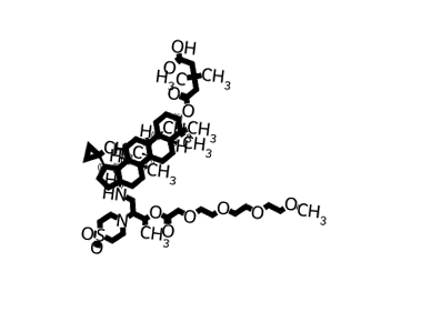 COCCOCCOCCOCC(=O)OC(C)C(CN[C@]12CC[C@@H](C3(C)CC3)[C@@H]1[C@H]1CC[C@@H]3[C@@]4(C)CC[C@H](OC(=O)CC(C)(C)CC(=O)O)C(C)(C)[C@@H]4CC[C@@]3(C)[C@]1(C)CC2)N1CCS(=O)(=O)CC1